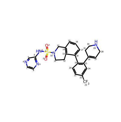 O=S(=O)(Nc1cnccn1)N1CCc2c(cccc2-c2ccc(C(F)(F)F)cc2C2=CCNCC2)C1